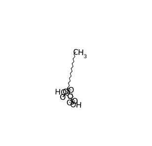 CCCCCCCCCCCCCCCCS(=O)(=O)c1ccc(S(=O)(=O)O)cc1C(=O)O